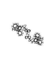 CC(C)(COC(=O)CCC(=O)OCC(C)(C)Cc1cc(C2(C)CCCCC2)c(O)c(C2(C)CCCCC2)c1)Cc1cc(C2(C)CCCCC2)c(O)c(C2(C)CCCCC2)c1